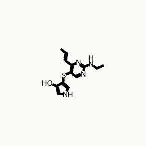 CC=Cc1nc(NCC)ncc1Sc1c[nH]cc1O